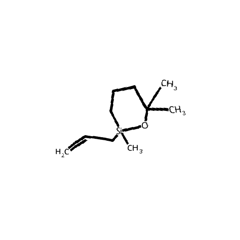 C=CC[Si]1(C)CCCC(C)(C)O1